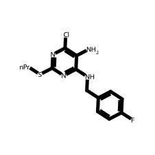 CCCSc1nc(Cl)c(N)c(NCc2ccc(F)cc2)n1